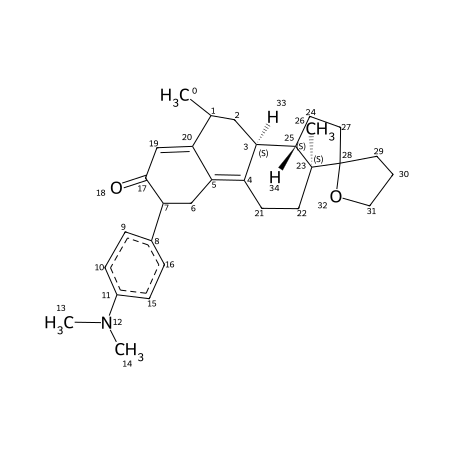 CC1C[C@@H]2C(=C3CC(c4ccc(N(C)C)cc4)C(=O)C=C31)CC[C@@]1(C)[C@H]2CCC12CCCO2